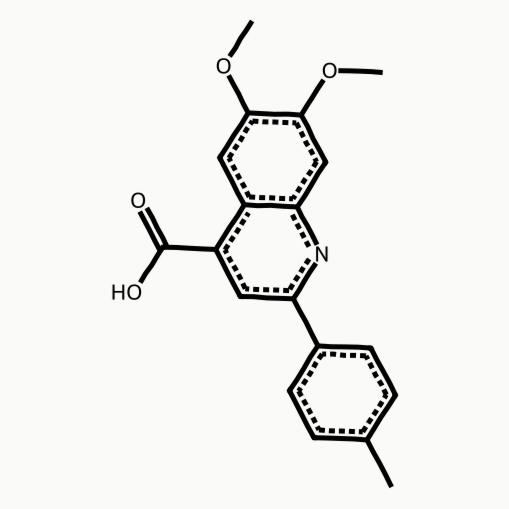 COc1cc2nc(-c3ccc(C)cc3)cc(C(=O)O)c2cc1OC